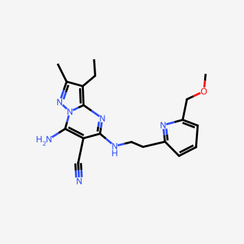 CCc1c(C)nn2c(N)c(C#N)c(NCCc3cccc(COC)n3)nc12